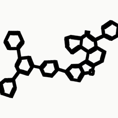 c1ccc(-c2cc(-c3ccccc3)cc(-c3ccc(-c4ccc5oc6ccc7c(-c8ccccc8)nc8ccccc8c7c6c5c4)cc3)c2)cc1